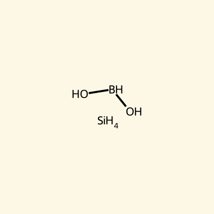 OBO.[SiH4]